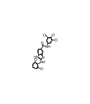 O=C(Nc1cc(Cl)c(Cl)c(Cl)c1)c1ccc2[nH]c(Nc3c(Cl)cccc3Cl)nc2c1